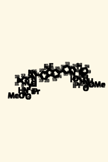 COC(=O)N[C@H](C(=O)N1CC2(CC2)C[C@H]1c1ncc(-c2ccc3c(c2)C(F)(F)c2cc(-c4ccc5cc([C@@H]6[C@H]7CC[C@H](C7)N6C(=O)[C@@H](NC(=O)OC)C(C)C)[nH]c5c4)ccc2-3)[nH]1)C(C)C